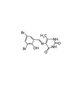 Cc1[nH]c(=O)[nH]c(=O)c1/N=C/c1cc(Br)cc(Br)c1O